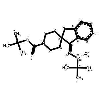 CC(C)(C)OC(=O)N1CCC2(CC1)Cc1ccncc1C2=N[S@+]([O-])C(C)(C)C